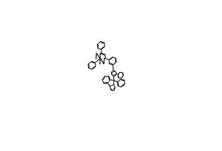 C1=CC2c3ccccc3C3(c4ccccc4Oc4cc(-c5cccc(-c6cc(-c7ccccc7)nc(-c7ccccc7)n6)c5)ccc43)C2C=C1